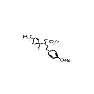 CCOC(=O)C(CCc1ccc(OC)cc1)C(=O)c1ccc(C)cc1